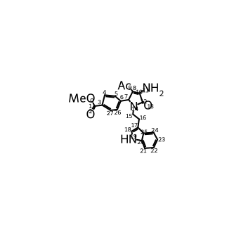 COC(=O)c1ccc(C2C(C(C)=O)=C(N)C(=O)N2CCc2c[nH]c3ccccc23)cc1